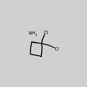 ClC1(Cl)CCC1.N